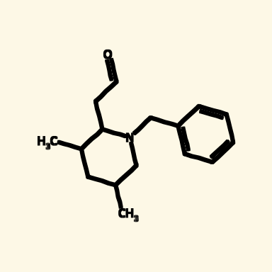 CC1CC(C)C(CC=O)N(Cc2ccccc2)C1